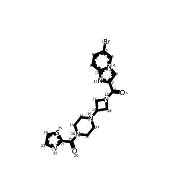 O=C(c1cn2cc(Br)ccc2n1)N1CC(N2CCN(C(=O)c3nccs3)CC2)C1